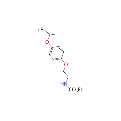 CCCCC(C)Oc1ccc(OCCNC(=O)OCC)cc1